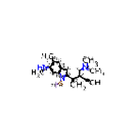 C#CC(CN(C)C)C(=C)c1cc2cc(C)c(NC)cc2n1SI